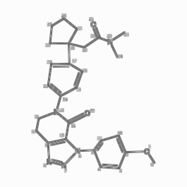 COc1ccc(-n2nnc3c2C(=O)N(c2ccc(C4(CC(=O)N(C)C)CCCC4)cc2)CC3)cc1